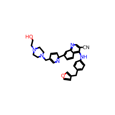 N#Cc1cnc2cc(-c3ccc(CN4CCN(CCO)CC4)cn3)ccc2c1Nc1ccc(Cc2ccoc2)cc1